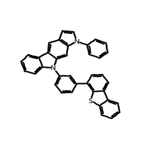 c1ccc(-n2ccc3cc4c5ccccc5n(-c5cccc(-c6cccc7c6sc6ccccc67)c5)c4cc32)cc1